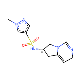 Cn1cc(S(=O)(=O)N[C@H]2CC3=CCN=CN3C2)cn1